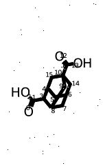 O=C(O)C1C2CC3CC1CC(C(=O)O)(C3)C2